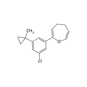 CC1(c2cc(Cl)cc(C3=CCCC=CO3)c2)CC1